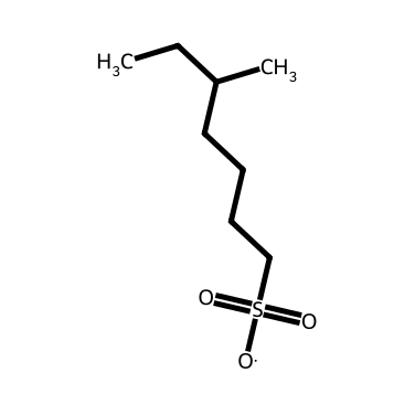 CCC(C)CCCCS([O])(=O)=O